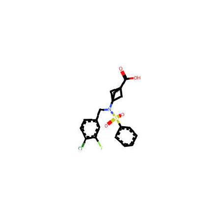 O=C(O)C12CC(N(Cc3ccc(Cl)c(F)c3)S(=O)(=O)c3ccccc3)(C1)C2